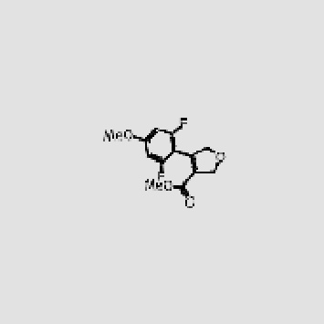 COC(=O)C1=C(c2c(F)cc(OC)cc2F)COC1